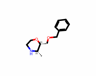 C[C@@H]1NCCO[C@@H]1COCc1ccccc1